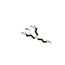 B.CCCCP(CCCC)CCCC